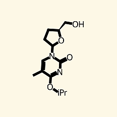 Cc1cn(C2CC[C@@H](CO)O2)c(=O)nc1OC(C)C